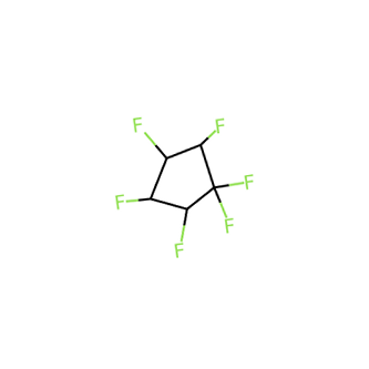 FC1C(F)C(F)C(F)(F)C1F